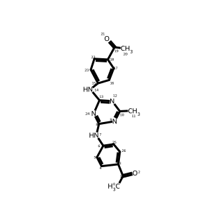 CC(=O)c1ccc(Nc2nc(C)nc(Nc3ccc(C(C)=O)cc3)n2)cc1